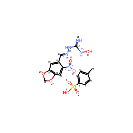 Cc1ccc(S(=O)(=O)O)cc1.N=C(NO)N/N=C/c1cc2c(cc1[N+](=O)[O-])OCO2